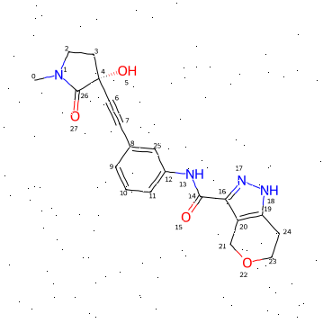 CN1CC[C@@](O)(C#Cc2cccc(NC(=O)c3n[nH]c4c3COCC4)c2)C1=O